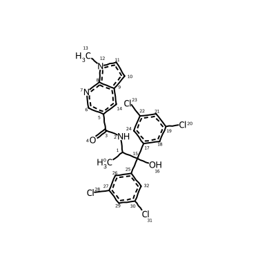 CC(NC(=O)c1cnc2c(ccn2C)c1)C(O)(c1cc(Cl)cc(Cl)c1)c1cc(Cl)cc(Cl)c1